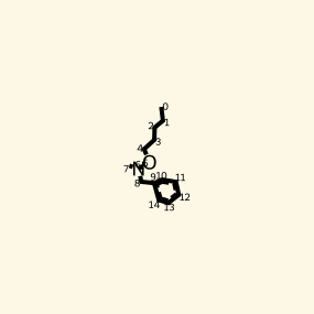 CCCCCON(C)Cc1ccccc1